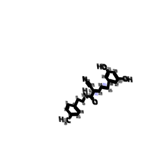 Cc1ccc(CCNC(=O)/C(C#N)=C/C=C/c2cc(O)cc(O)c2)cc1